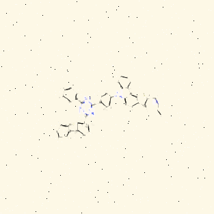 C=C/C=C\c1sc2c(ccc3c2c2ccccc2n3-c2ccc(-c3nc(-c4ccccc4)nc(-c4cccc5c4sc4ccccc45)n3)cc2)c1C